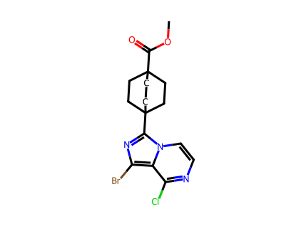 COC(=O)C12CCC(c3nc(Br)c4c(Cl)nccn34)(CC1)CC2